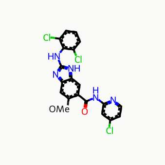 COc1cc2nc(Nc3c(Cl)cccc3Cl)[nH]c2cc1C(=O)Nc1cc(Cl)ccn1